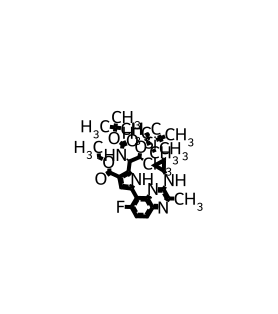 CCOC(=O)c1cc(-c2c(F)ccc3nc(C)c(NC4CC4)nc23)[nH]c1[C@H](NC(=O)OC(C)(C)C)[C@H](C)O[Si](C)(C)C(C)(C)C